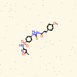 COc1ccc(/C=C/C(=O)NC(=S)Nc2ccc(S(=O)(=O)Nc3cc(C)on3)cc2)cc1